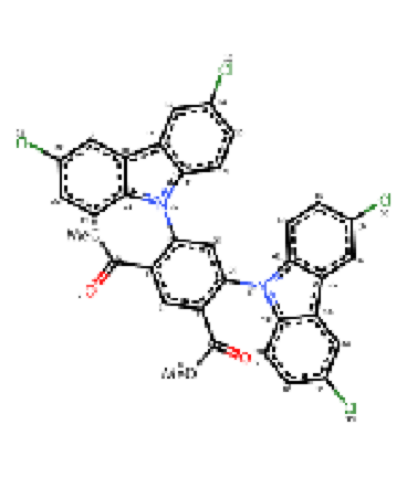 COC(=O)c1cc(C(=O)OC)c(-n2c3ccc(Cl)cc3c3cc(Cl)ccc32)cc1-n1c2ccc(Cl)cc2c2cc(Cl)ccc21